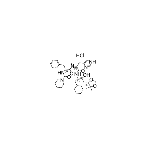 CN(C(=O)[C@H](Cc1ccccc1)NC(=O)N1CCCCC1)[C@@H](Cc1c[nH]cn1)C(=O)N[C@@H](CC1CCCCC1)[C@@H](O)C[C@@H]1OCOC1(C)C.Cl